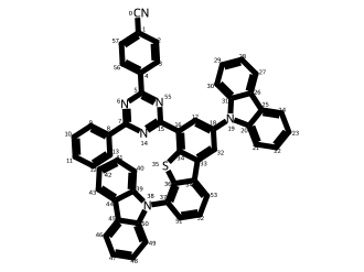 N#Cc1ccc(-c2nc(-c3ccccc3)nc(-c3cc(-n4c5ccccc5c5ccccc54)cc4c3sc3c(-n5c6ccccc6c6ccccc65)cccc34)n2)cc1